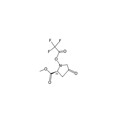 COC(=O)[C@@H]1CC(=O)CN1OC(=O)C(F)(F)F